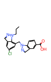 CCCn1ncc2cc(Cl)cc(Cn3ncc4cc(C(=O)O)ccc43)c21